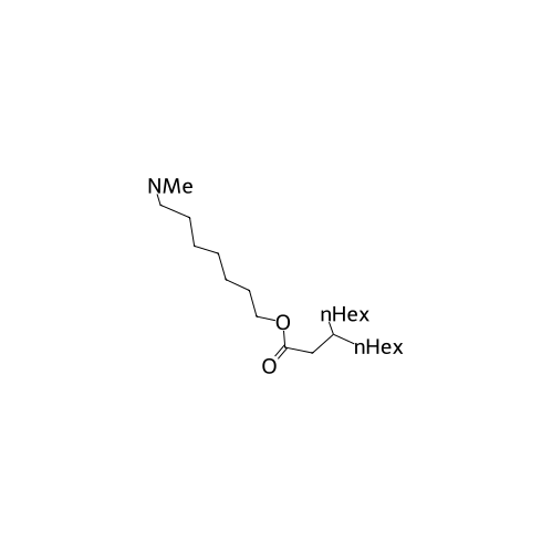 CCCCCCC(CCCCCC)CC(=O)OCCCCCCCNC